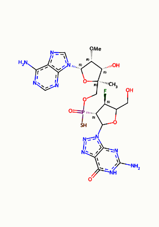 CO[C@H]1[C@@H](n2cnc3c(N)ncnc32)O[C@](C)(COP(=O)(S)[C@H]2C(n3nnc4c(=O)[nH]c(N)nc43)OC(CO)[C@@H]2F)[C@H]1O